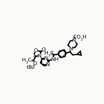 C[C@H](Nc1nccc(N2C(=O)OC[C@@H]2[C@@H](C)OC(C)(C)C)n1)c1ccc(C(CC2CC2)N2CCN(C(=O)O)CC2)cc1